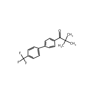 CC(C)(C)C(=O)c1ccc(-c2ccc(C(F)(F)F)cc2)cc1